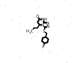 CCCc1cc(=O)[nH]c2nnc(SCc3ccc(F)cc3)n12